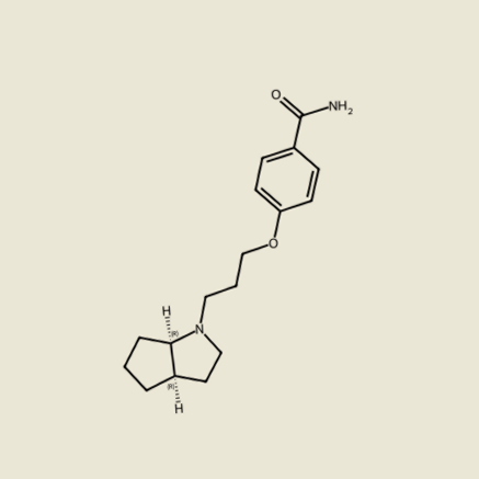 NC(=O)c1ccc(OCCCN2CC[C@H]3CCC[C@H]32)cc1